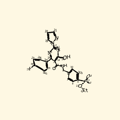 CCOP(C)(=O)c1ccc(CNC(=O)c2c(O)nc(-n3cccn3)nc2-c2ccc(F)cc2)cc1